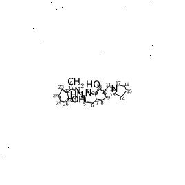 C/C(=N/Nc1ccc2ccc(CN3CCCCC3)c(O)c2n1)c1ccccc1O